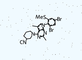 [C-]#[N+]C1CCCN(c2nc(C)nc3c2c(C)cn3-c2c(Br)cc(Br)cc2SC)C1